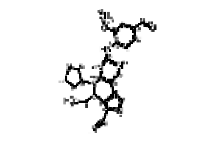 CC[C@@H]1c2c(C#N)ncn2-c2cnc(Nc3ccc(C=O)cc3OC)nc2N1C1CCCC1